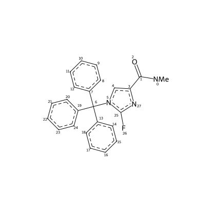 CNC(=O)c1cn(C(c2ccccc2)(c2ccccc2)c2ccccc2)c(F)n1